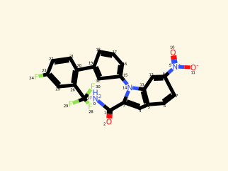 NC(=O)c1cc2ccc([N+](=O)[O-])cc2n1-c1cccc(-c2ccc(F)cc2C(F)(F)F)c1